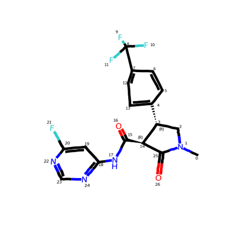 CN1C[C@@H](c2ccc(C(F)(F)F)cc2)[C@H](C(=O)Nc2cc(F)ncn2)C1=O